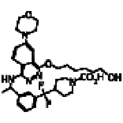 CC(Nc1nnc(OCCCCCCO)c2cc(N3CCOCC3)ccc12)c1cccc(C(F)(F)C2CCN(C(=O)O)CC2)c1